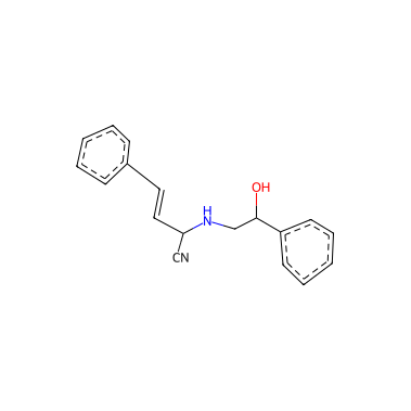 N#CC(C=Cc1ccccc1)NCC(O)c1ccccc1